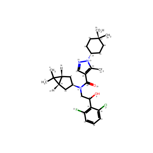 CC1(C)[C@@H]2C[C@@H](N(CC(O)c3c(F)cccc3Cl)C(=O)c3cnn([C@H]4CC[C@](C)(C(=O)O)CC4)c3C(F)(F)F)C[C@@H]21